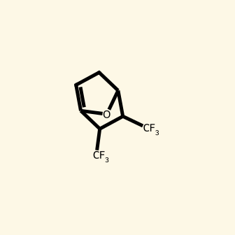 FC(F)(F)C1C2=CCC(O2)C1C(F)(F)F